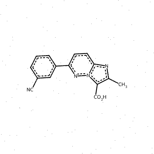 Cc1nc2ccc(-c3cccc(C#N)c3)nn2c1C(=O)O